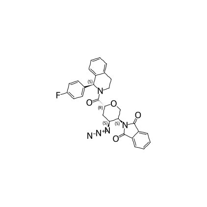 [N-]=[N+]=N[C@H]1C[C@H](C(=O)N2CCc3ccccc3[C@@H]2c2ccc(F)cc2)OC[C@H]1N1C(=O)c2ccccc2C1=O